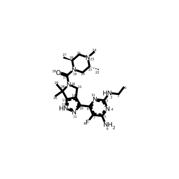 CCNc1nc(N)c(F)c(-c2n[nH]c3c2CN(C(=O)N2C[C@@H](C)N(C)C[C@@H]2C)C3(C)C)n1